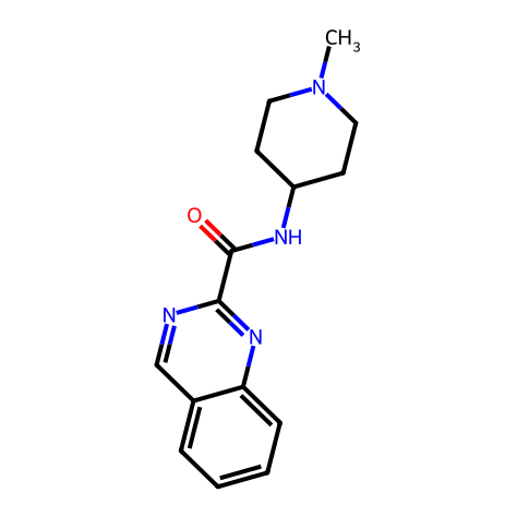 CN1CCC(NC(=O)c2ncc3ccccc3n2)CC1